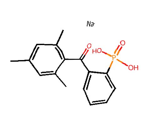 Cc1cc(C)c(C(=O)c2ccccc2P(=O)(O)O)c(C)c1.[Na]